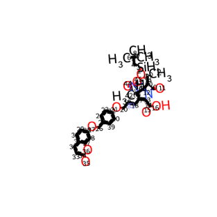 C[C@@H](O[SiH2]CC(C)(C)C)[C@H]1C(=O)N2C(C(=O)O)=C(/C=C/COc3ccc(COc4ccc5ccc(=O)oc5c4)cc3)[C@](C)([N+](=O)[O-])[C@@H]12